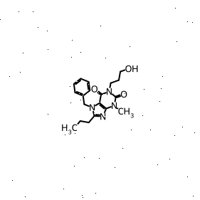 CCCc1nc2c(c(=O)n(CCCO)c(=O)n2C)n1Cc1ccccc1